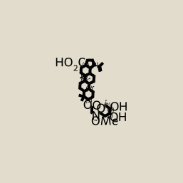 C=C(C)[C@@H]1CC[C@]2(C(=O)O)CC[C@]3(C)C(CCC4[C@@]5(C)CC[C@H](OC(=O)CN(OC)C6C[C@H](O)[C@H](O)[C@@H](C)O6)C(C)(C)C5CC[C@]43C)C12